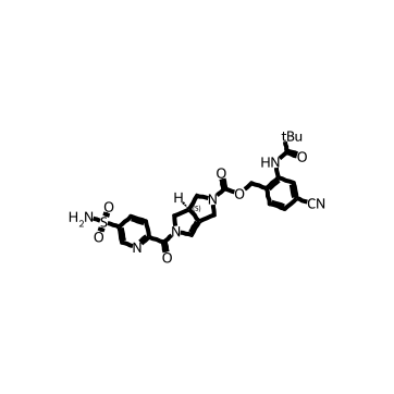 CC(C)(C)C(=O)Nc1cc(C#N)ccc1COC(=O)N1CC2=CN(C(=O)c3ccc(S(N)(=O)=O)cn3)C[C@H]2C1